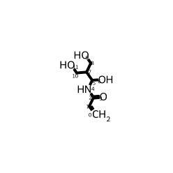 C=CC(=O)NC(O)C(CO)CO